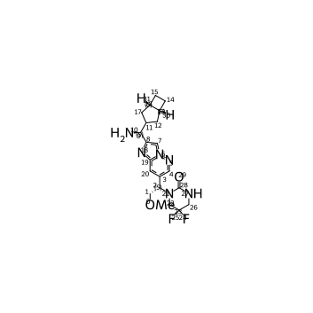 COC[C@H](c1cnn2cc([C@@H](N)C3C[C@H]4CC[C@H]4C3)nc2c1)N1CC(F)(F)CNC1=O